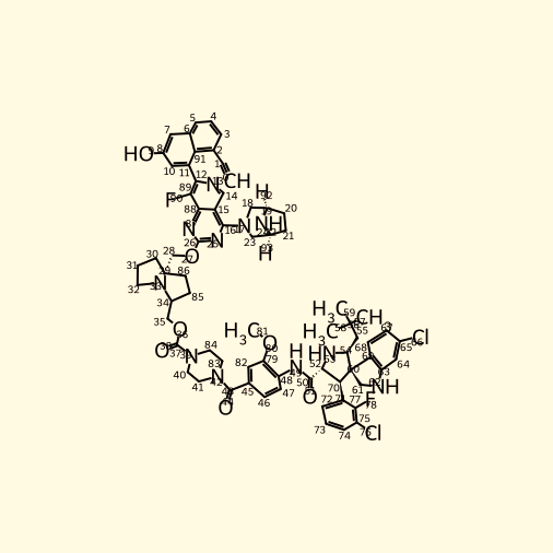 C#Cc1cccc2cc(O)cc(-c3ncc4c(N5C[C@H]6CC[C@@H](C5)N6)nc(OC[C@@]56CCCN5C(COC(=O)N5CCN(C(=O)c7ccc(NC(=O)[C@@H]8N[C@@H](CC(C)(C)C)[C@@]9(CNc%10cc(Cl)ccc%109)[C@H]8c8cccc(Cl)c8F)c(OC)c7)CC5)CC6)nc4c3F)c12